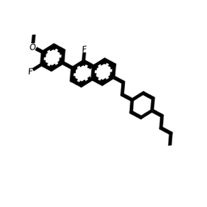 CCCCC1CCC(CCc2ccc3c(F)c(-c4ccc(OC)c(F)c4)ccc3c2)CC1